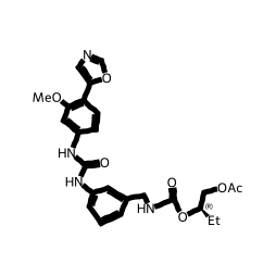 CC[C@H](COC(C)=O)OC(=O)NCc1cccc(NC(=O)Nc2ccc(-c3cnco3)c(OC)c2)c1